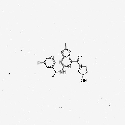 Cc1cc2nc(N[C@@H](C)c3cncc(F)c3)nc(C(=O)N3CC[C@H](O)C3)c2s1